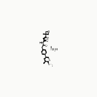 CS(=O)(=O)O.Cc1cc(-c2ccc(CC(=O)Nc3cc(C4(C)COC4)on3)cc2)cnc1N